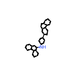 c1ccc2c(c1)ccc1cc(-c3ccc(Nc4cc5ccccc5c5ccccc45)cc3)ccc12